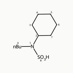 CCCCN(C1CCCCC1)S(=O)(=O)O